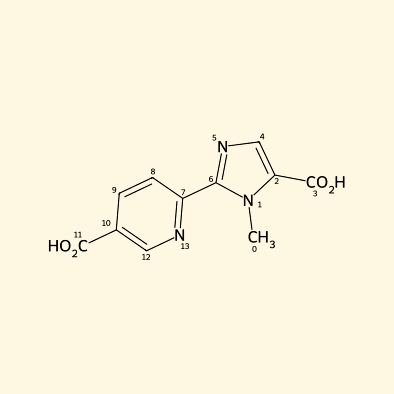 Cn1c(C(=O)O)cnc1-c1ccc(C(=O)O)cn1